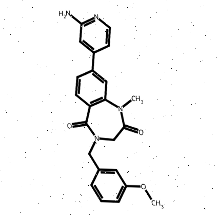 COc1cccc(CN2CC(=O)N(C)c3cc(-c4ccnc(N)c4)ccc3C2=O)c1